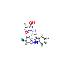 O=C(NCCc1c(-c2ccc(F)cc2)[nH]c2c(F)cc(F)cc12)C1(CO)CC1